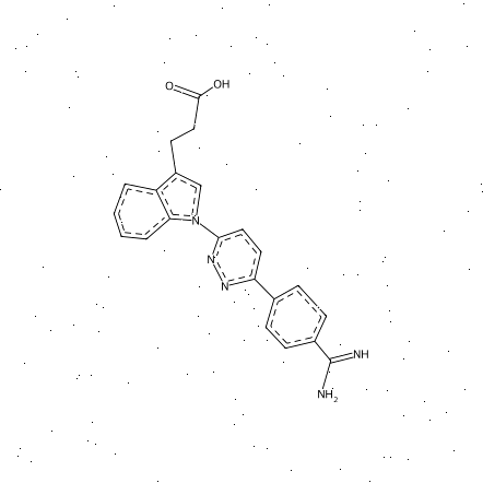 N=C(N)c1ccc(-c2ccc(-n3cc(CCC(=O)O)c4ccccc43)nn2)cc1